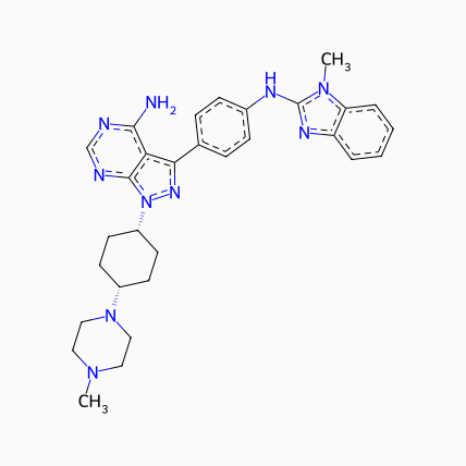 CN1CCN([C@H]2CC[C@@H](n3nc(-c4ccc(Nc5nc6ccccc6n5C)cc4)c4c(N)ncnc43)CC2)CC1